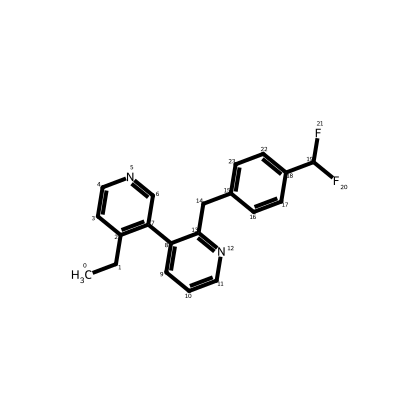 CCc1ccncc1-c1cccnc1Cc1ccc(C(F)F)cc1